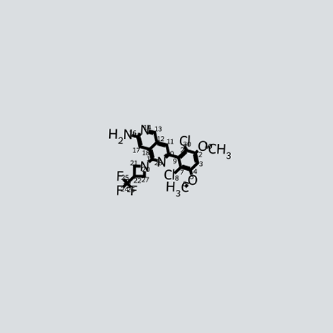 COc1cc(OC)c(Cl)c(-c2cc3cnc(N)cc3c(N3CC(C(F)(F)F)C3)n2)c1Cl